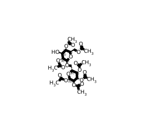 CC(=O)OC[C@H]1O[C@@H](OC[C@H]2O[C@@H](OC(C)=O)[C@H](OC(C)=O)[C@@H](OC(C)=O)[C@@H]2OC(C)=O)[C@H](OC(C)=O)[C@@H](O)[C@@H]1OC(C)=O